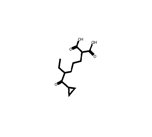 CCC(CCCC(C(=O)O)C(=O)O)C(=O)C1CC1